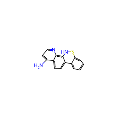 Nc1ccnc2c3c(ccc12)-c1ccccc1SN3